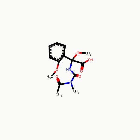 COc1ccccc1C(NC(=O)N(C)C(C)=O)(OC)C(=O)O